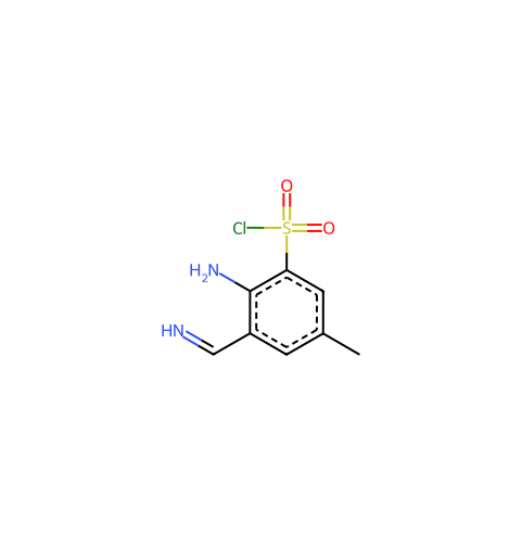 Cc1cc(C=N)c(N)c(S(=O)(=O)Cl)c1